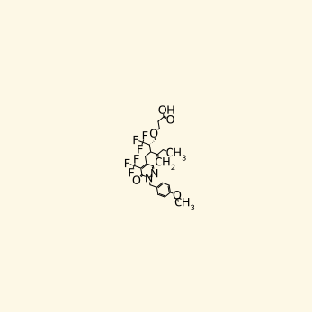 C=C(CC)C(Cc1cnn(Cc2ccc(OC)cc2)c(=O)c1C(F)(F)F)[C@@H](COCCC(=O)O)C(F)(F)F